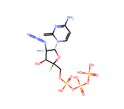 C=C1N=C(N)C=CN1[C@@H]1O[C@](F)(COP(=O)(O)OP(=O)(O)OP(=O)(O)O)[C@@H](O)[C@@]1(C)N=[N+]=[N-]